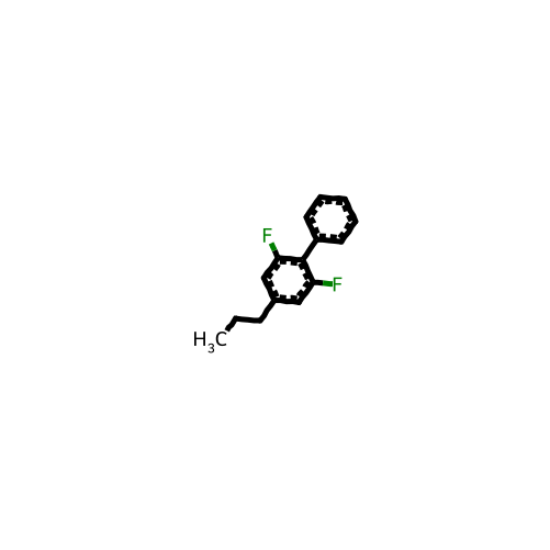 CCCc1cc(F)c(-c2ccccc2)c(F)c1